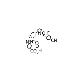 N#Cc1ccc(COc2cccc(C3CCN(Cc4nc5ccc(C(=O)O)cc5n4C[C@H]4CCOC4)CC3)n2)c(F)c1